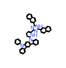 C1=C(C2=NC(c3ccc4ccccc4c3)NC(c3ccc4ccccc4c3)=N2)NC(n2c3ccccc3c3cc4c5ccccc5n(-c5ccccc5)c4cc32)CC1